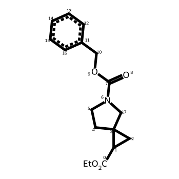 CCOC(=O)C1CC12CCN(C(=O)OCc1ccccc1)C2